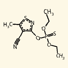 CCOP(=S)(OCC)Oc1nsc(C)c1C#N